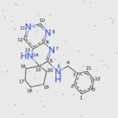 c1ccc(CNC2=Nc3ncncc3NC23CCCCC3)cc1